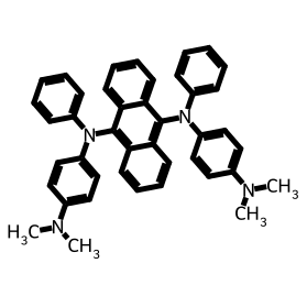 CN(C)c1ccc(N(c2ccccc2)c2c3ccccc3c(N(c3ccccc3)c3ccc(N(C)C)cc3)c3ccccc23)cc1